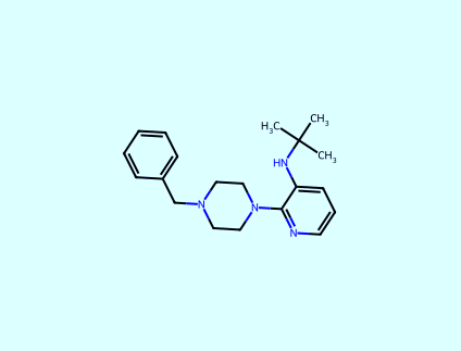 CC(C)(C)Nc1cccnc1N1CCN(Cc2ccccc2)CC1